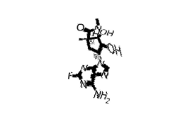 CNC(=O)[C@@]1(C)C[C@@H](n2cnc3c(N)nc(F)nc32)C(O)C1O